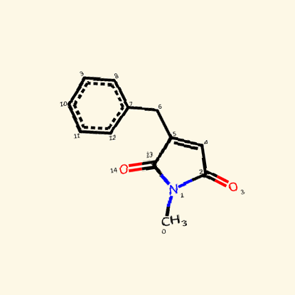 CN1C(=O)C=C(Cc2ccccc2)C1=O